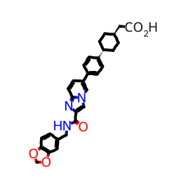 O=C(O)C[C@H]1CC[C@H](c2ccc(-c3ccc4nc(C(=O)NCc5ccc6c(c5)OCO6)cn4c3)cc2)CC1